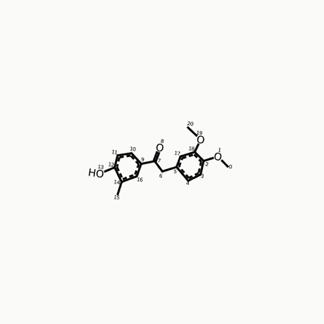 COc1ccc(CC(=O)c2ccc(O)c(C)c2)cc1OC